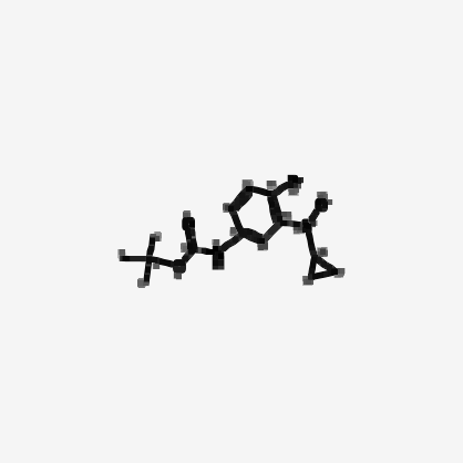 CC(C)(C)OC(=O)Nc1ccc(Br)c([S+]([O-])C2CC2)c1